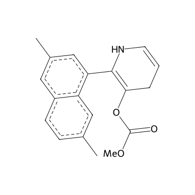 COC(=O)OC1=C(c2cc(C)cc3ccc(C)cc23)NC=CC1